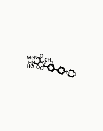 CNC(=O)C(C(=O)NO)N(C)C(=O)c1ccc(-c2ccc(N3CCOCC3)cc2)cc1